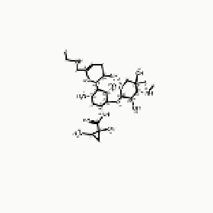 CCNCC1=CC[C@@H](N)[C@@H](C2[C@@H](N)C[C@@H](NC(=O)C3(O)CC3N)[C@H](O[C@H]3OC[C@](C)(O)[C@H](NC)[C@H]3O)[C@H]2O)O1